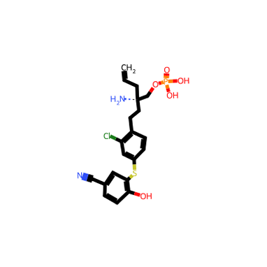 C=CC[C@](N)(CCc1ccc(Sc2cc(C#N)ccc2O)cc1Cl)COP(=O)(O)O